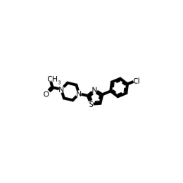 CC(=O)N1CCN(c2nc(-c3ccc(Cl)cc3)cs2)CC1